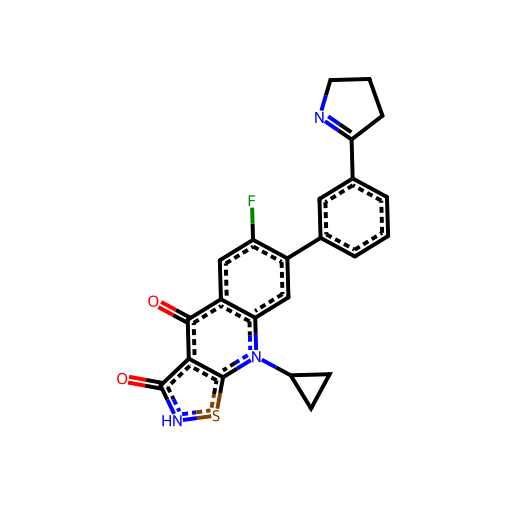 O=c1[nH]sc2c1c(=O)c1cc(F)c(-c3cccc(C4=NCCC4)c3)cc1n2C1CC1